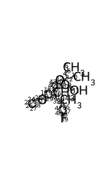 CCCC(CCC)C(OCCO)OC1=CC(C)(c2ccc(OCc3ccccc3)cc2CC[C@@H](C)c2ccc(F)cc2)C=C1